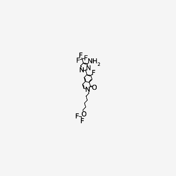 Nc1nc(-c2cc3ccn(CCCCCCOC(F)F)c(=O)c3cc2F)ncc1C(F)(F)F